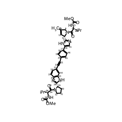 COC(=O)N[C@H](C(=O)N1CC(C)=C[C@H]1c1ncc(-c2ccc(C#Cc3ccc4nc([C@@H]5CCCN5C(=O)[C@@H](NC(=O)OC)C(C)C)[nH]c4c3)cc2)[nH]1)C(C)C